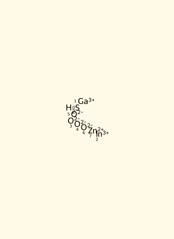 S.[Ga+3].[In+3].[O-2].[O-2].[O-2].[O-2].[Zn+2]